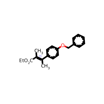 CCOC(=O)/C(C)=C(\C)c1ccc(OCc2ccccc2)cc1